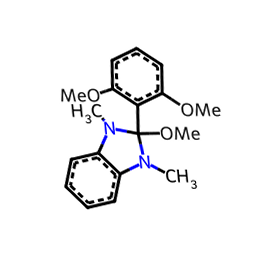 COc1cccc(OC)c1C1(OC)N(C)c2ccccc2N1C